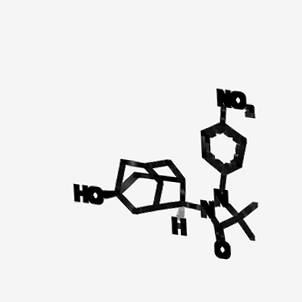 CC1(C)C(=O)N([C@H]2C3CC4CC2C[C@@](O)(C4)C3)N1c1ccc([N+](=O)[O-])cc1